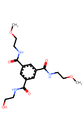 COCCNC(=O)c1cc(C(=O)NCCO)cc(C(=O)NCCOC)c1